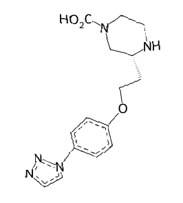 O=C(O)N1CCN[C@H](CCOc2ccc(-n3ccnn3)cc2)C1